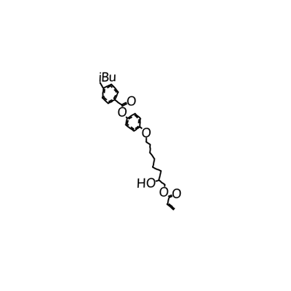 C=CC(=O)OCC(O)CCCCCCOc1ccc(OC(=O)c2ccc(CC(C)CC)cc2)cc1